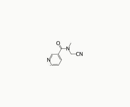 CN(CC#N)C(=O)c1cc[c]nc1